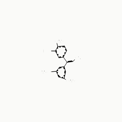 COc1cc(OC)cc(C(=CC#N)c2ccc(OC)c(C)c2)c1